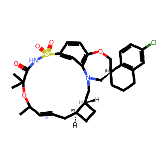 CC1/C=C/[CH][C@@H]2CC[C@H]2CN2C[C@@]3(CCCc4cc(Cl)ccc43)COc3ccc(cc32)S(=O)(=O)NC(=O)C(C)(C)O1